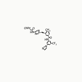 COCC(=O)Nc1cnc(C#Cc2cc(C(=O)Nc3cc(-n4ccnc4)cc(C(F)(F)F)c3)ccc2C)cn1